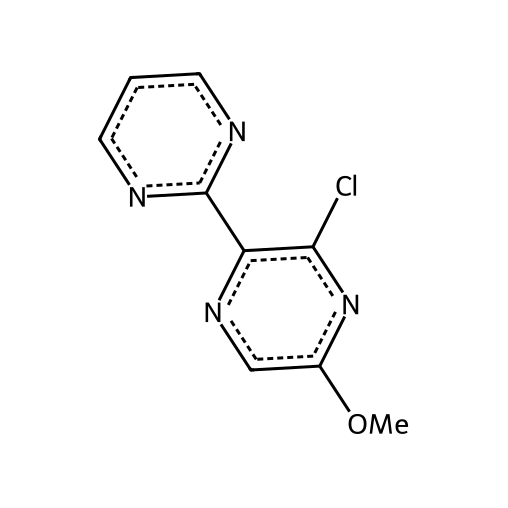 COc1cnc(-c2ncccn2)c(Cl)n1